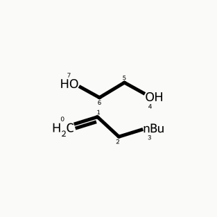 C=CCCCCC.OCCO